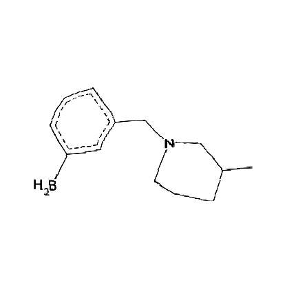 Bc1cccc(CN2CCCC(C)C2)c1